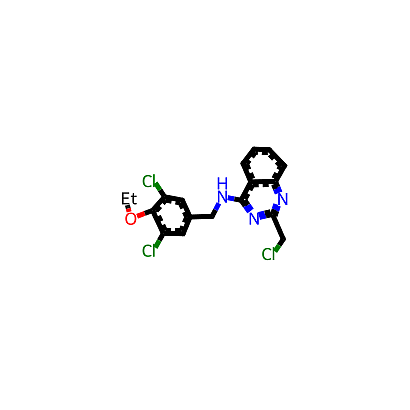 CCOc1c(Cl)cc(CNc2nc(CCl)nc3ccccc23)cc1Cl